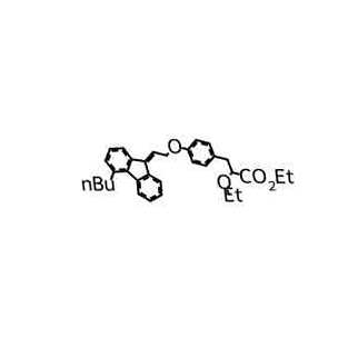 CCCCc1cccc2c1-c1ccccc1/C2=C\COc1ccc(CC(OCC)C(=O)OCC)cc1